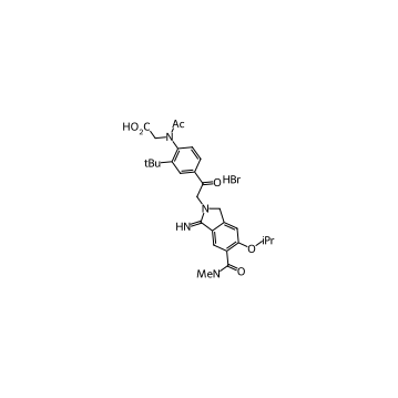 Br.CNC(=O)c1cc2c(cc1OC(C)C)CN(CC(=O)c1ccc(N(CC(=O)O)C(C)=O)c(C(C)(C)C)c1)C2=N